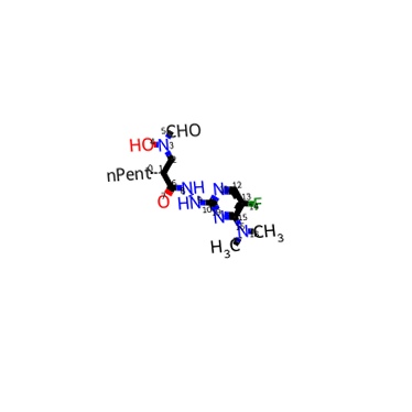 CCCCC[C@H](CN(O)C=O)C(=O)NNc1ncc(F)c(N(C)C)n1